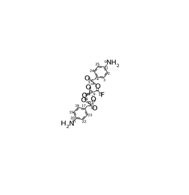 Nc1ccc(S(=O)(=O)OP(=O)(CF)OS(=O)(=O)c2ccc(N)cc2)cc1